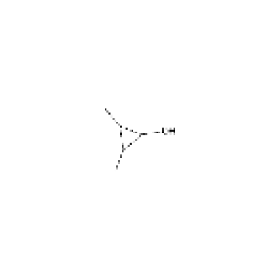 CC1C(C)C1O